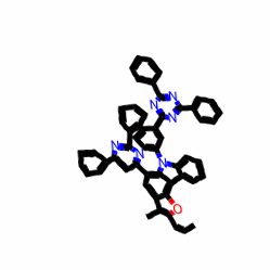 C/C=C\c1oc2c(cc(-c3cc(-c4ccccc4)nc(-c4ccccc4)n3)c3c2c2ccccc2n3-c2cccc(-c3nc(-c4ccccc4)nc(-c4ccccc4)n3)c2)c1C